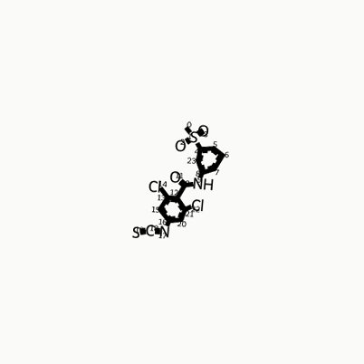 CS(=O)(=O)c1cccc(NC(=O)c2c(Cl)cc(N=C=S)cc2Cl)c1